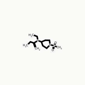 C=C(CC)N(CC)C1CCN(S(C)(=O)=O)CC1